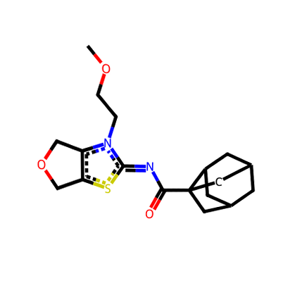 COCCn1c2c(sc1=NC(=O)C13CC4CC(CC1C4)C3)COC2